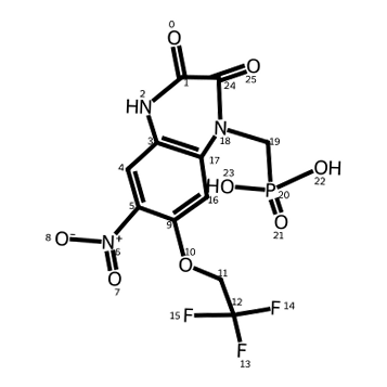 O=c1[nH]c2cc([N+](=O)[O-])c(OCC(F)(F)F)cc2n(CP(=O)(O)O)c1=O